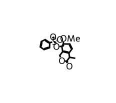 COc1ccc2c(c1OS(=O)(=O)c1ccccc1)COC(=O)C2C